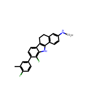 Cc1cc(-c2ccc3c4c([nH]c3c2F)-c2ccc(NC(=O)O)cc2CC4)ccc1F